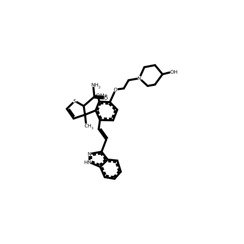 COc1c(OCCN2CCC(O)CC2)ccc(/C=C/c2n[nH]c3ccccc23)c1C1(C)C=CSC1C(N)=O